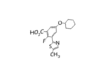 Cc1cnc(-c2cc(OC3CCCCC3)cc(C(=O)O)c2F)s1